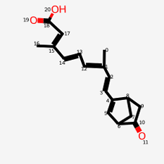 CC(C=CC1=CC2CC1CC2=O)=CC=CC(C)=CC(=O)O